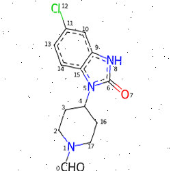 O=CN1CCC(n2c(=O)[nH]c3cc(Cl)ccc32)CC1